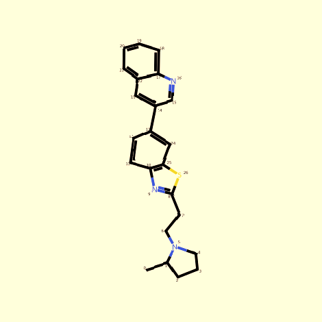 CC1CCCN1CCc1nc2ccc(-c3cnc4ccccc4c3)cc2s1